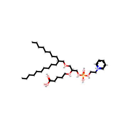 CCCCCCCCCCC(CCCCCCCC)COCC(COP(=O)([O-])OCC[n+]1ccccc1)OCCCCC(=O)O